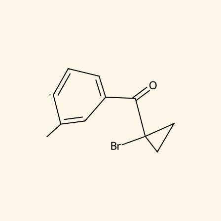 Cc1[c]ccc(C(=O)C2(Br)CC2)c1